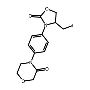 O=C1COCCN1c1ccc(N2C(=O)OCC2CI)cc1